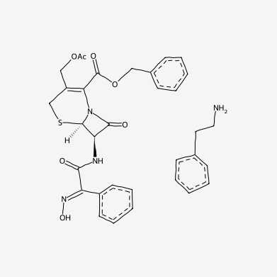 CC(=O)OCC1=C(C(=O)OCc2ccccc2)N2C(=O)[C@@H](NC(=O)/C(=N/O)c3ccccc3)[C@H]2SC1.NCCc1ccccc1